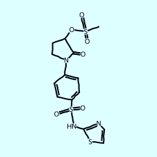 CS(=O)(=O)OC1CCN(c2ccc(S(=O)(=O)Nc3nccs3)cc2)C1=O